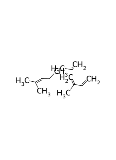 C=CC.C=CC(=C)C.CCC=C(C)C